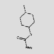 CNC(=O)OC1CCC(C)CC1